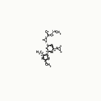 CCOC(=O)[C@@H]1C[C@H]1c1cc(-n2nc(C)nc2C)nc(C2CC2)n1